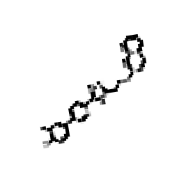 Cc1cc(-c2ccc(-c3nnc(CCCc4ccc5cccnc5n4)s3)cc2)ccc1F